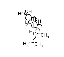 CC(C)CCC[C@@H](C)[C@H]1CC[C@H]2[C@@H]3CC=C4CC(O)(O)CC[C@]4(C)[C@H]3CC[C@]12C